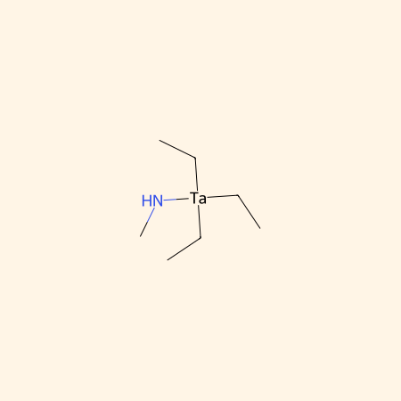 C[CH2][Ta]([CH2]C)([CH2]C)[NH]C